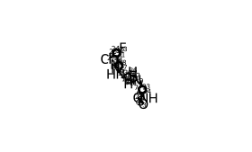 CS(=O)(=O)Nc1ccc(CN2C[C@H]3CC(Nc4ccc(-c5cc(F)ccc5Cl)nn4)C[C@H]3C2)cc1